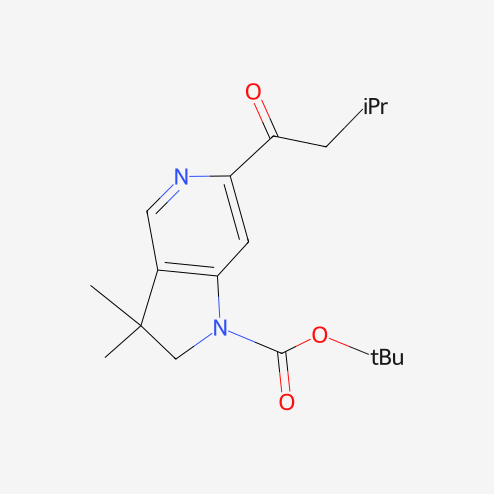 CC(C)CC(=O)c1cc2c(cn1)C(C)(C)CN2C(=O)OC(C)(C)C